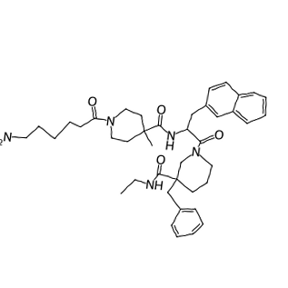 CCNC(=O)C1(Cc2ccccc2)CCCN(C(=O)C(Cc2ccc3ccccc3c2)NC(=O)C2(C)CCN(C(=O)CCCCCN)CC2)C1